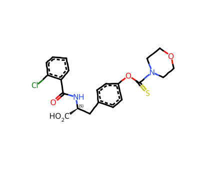 O=C(N[C@@H](Cc1ccc(OC(=S)N2CCOCC2)cc1)C(=O)O)c1ccccc1Cl